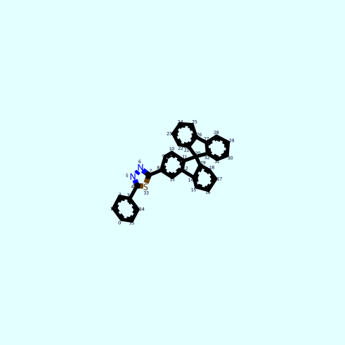 c1ccc(-c2nnc(-c3ccc4c(c3)-c3ccccc3C43c4ccccc4-c4ccccc43)s2)cc1